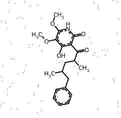 COc1[nH]c(=O)c(C(=O)C(C)CC(C)Cc2ccccc2)c(O)c1OC